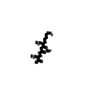 NCCCC[C@H](N)C(=O)OC(=O)CC[C@@H](N)C(=O)[O-].[Na+]